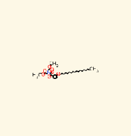 CCCCCCCCCCCCCCCCCCOc1cccc(C(=O)C(=O)N(CC(=O)OCC)CC(=O)OCC)c1